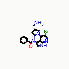 NC[C@H]1CCN(c2c(Br)cnc3[nH]cc(NC(=O)c4ccccc4)c23)C1